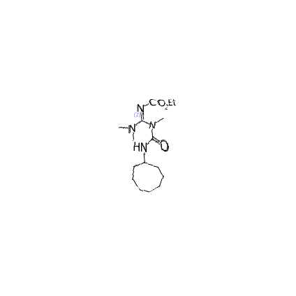 CCOC(=O)/N=C(/N(C)C)N(C)C(=O)NC1CCCCCCC1